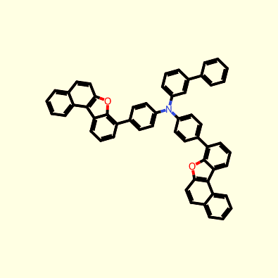 c1ccc(-c2cccc(N(c3ccc(-c4cccc5c4oc4ccc6ccccc6c45)cc3)c3ccc(-c4cccc5c4oc4ccc6ccccc6c45)cc3)c2)cc1